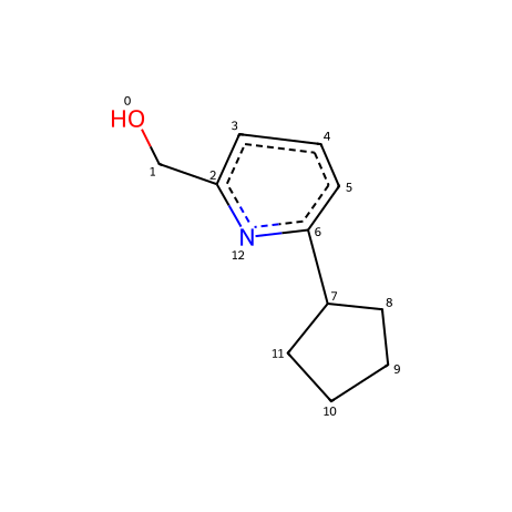 OCc1cccc(C2CCCC2)n1